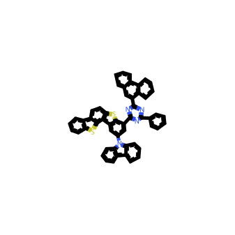 c1ccc(-c2nc(-c3cc4ccccc4c4ccccc34)nc(-c3cc(-n4c5ccccc5c5ccccc54)cc4c3sc3ccc5c6ccccc6sc5c34)n2)cc1